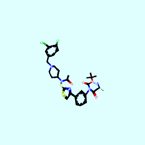 CC(=O)N(Sc1nc(-c2cccc(N(C(=O)OC(C)(C)C)C(=O)[C@@H](C)N)c2)cs1)C1CCN(Cc2ccc(Cl)c(Cl)c2)CC1